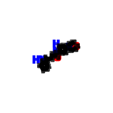 O=C(CCc1c[nH]c2ccccc12)Nc1ccc(N2CCOCC2)cc1